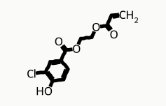 C=CC(=O)OCCOC(=O)c1ccc(O)c(Cl)c1